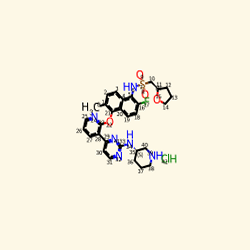 Cc1ccc2c(NS(=O)(=O)C[C@H]3CCCO3)c(F)ccc2c1Oc1ncccc1-c1ccnc(N[C@H]2CCCNC2)n1.Cl